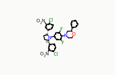 O=[N+]([O-])c1cc([C@H]2CC[C@H](c3ccc(Cl)c([N+](=O)[O-])c3)N2c2cc(F)c(N3CCOC(c4ccccc4)C3)c(F)c2)ccc1Cl